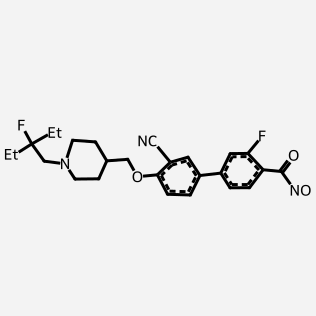 CCC(F)(CC)CN1CCC(COc2ccc(-c3ccc(C(=O)N=O)c(F)c3)cc2C#N)CC1